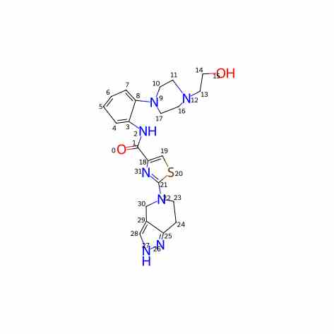 O=C(Nc1ccccc1N1CCN(CCO)CC1)c1csc(N2CCc3n[nH]cc3C2)n1